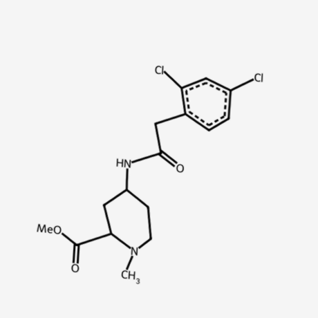 COC(=O)C1CC(NC(=O)Cc2ccc(Cl)cc2Cl)CCN1C